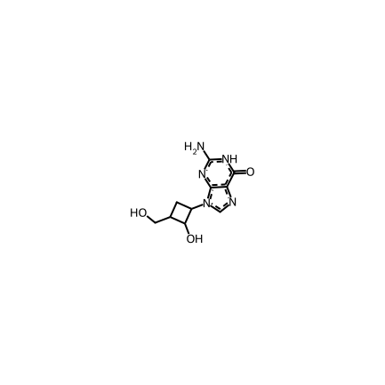 Nc1nc2c(ncn2C2CC(CO)C2O)c(=O)[nH]1